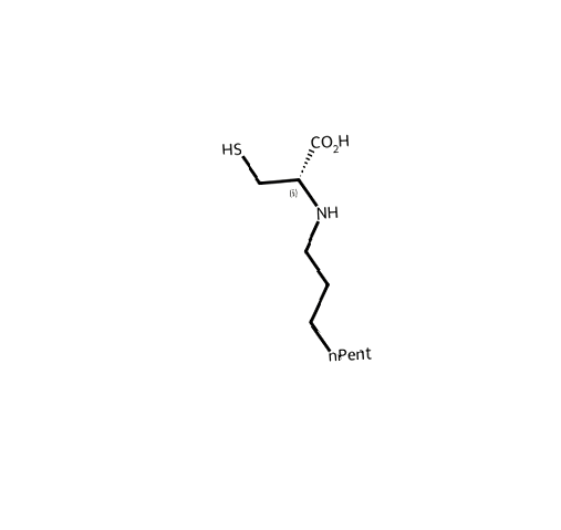 CCCCCCCCN[C@H](CS)C(=O)O